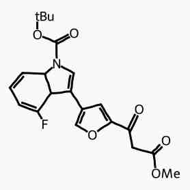 COC(=O)CC(=O)c1cc(C2=CN(C(=O)OC(C)(C)C)C3C=CC=C(F)C23)co1